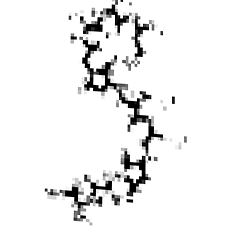 C=CCC(C)NC(=O)[C@H](C)NC(=O)[C@@H](NC(=O)CN1C(=O)CC(SCC(NC(=O)O)C(=O)NC(CSC2CC(=O)N(N[C@H](C(=O)N[C@@H](C)C(=O)NC)C(C)C)C2=O)C(=O)O)C1=O)C(C)C